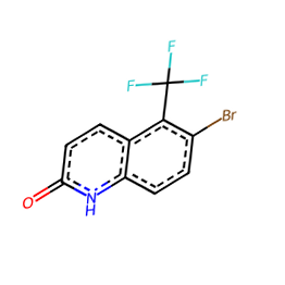 O=c1ccc2c(C(F)(F)F)c(Br)ccc2[nH]1